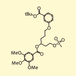 COc1cc(C(=O)OC(CCCOc2cccc(C(=O)OC(C)(C)C)c2)CCOS(C)(=O)=O)cc(OC)c1OC